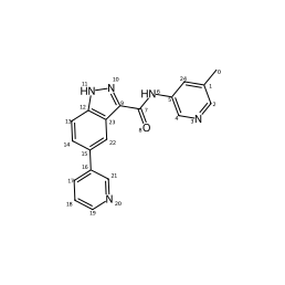 Cc1cncc(NC(=O)c2n[nH]c3ccc(-c4cccnc4)cc23)c1